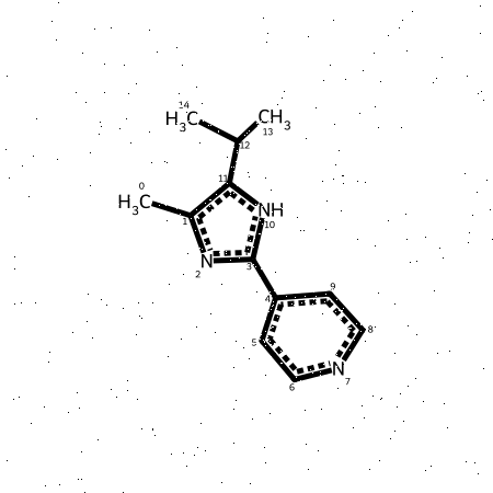 Cc1nc(-c2ccncc2)[nH]c1C(C)C